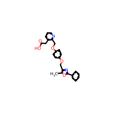 Cc1oc(-c2ccccc2)nc1COc1ccc(OCc2ncccc2CC(=O)O)cc1